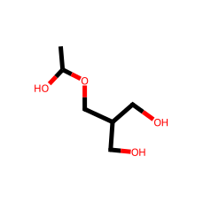 CC(O)OCC(CO)CO